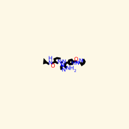 Nc1nccn2c(N3CCCC(C(=O)NCC4CC4)C3)nc(-c3ccc(C(=O)Nc4ccccn4)cc3)c12